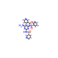 Nc1nc(NC(=O)c2cccnc2)nc(N(C(=O)c2cccnc2)C(=O)c2cccnc2)n1